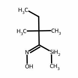 CCC(C)(C)C(=NO)[SiH2]C